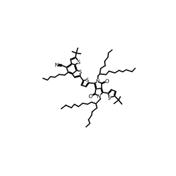 CCCCCCCCC(CCCCCC)CN1C(=O)C2=C(c3ccc(C(C)(C)C)s3)N(CC(CCCCCC)CCCCCCCC)C(=O)C2=C1c1ccc(-c2cc3c(CCCCCC)c(C#N)c4cc(C(C)(C)C)sc4c3s2)s1